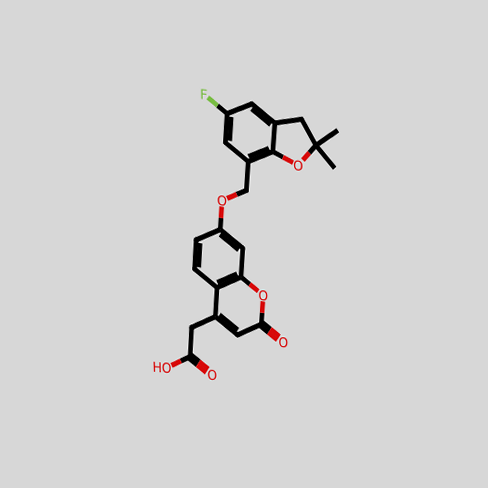 CC1(C)Cc2cc(F)cc(COc3ccc4c(CC(=O)O)cc(=O)oc4c3)c2O1